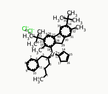 CCCC/[C](Cc1ccccc1)=[Zr+2](\[C]1=CC=CC1)[c]1c(C)c(C(C)(C)C)cc2c1Cc1cc(C)c(C(C)(C)C)cc1-2.[Cl-].[Cl-]